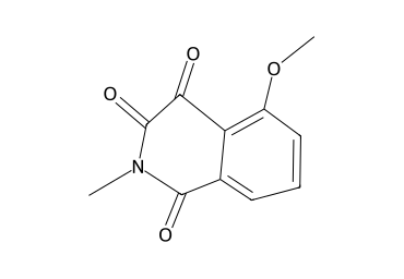 COc1cccc2c1C(=O)C(=O)N(C)C2=O